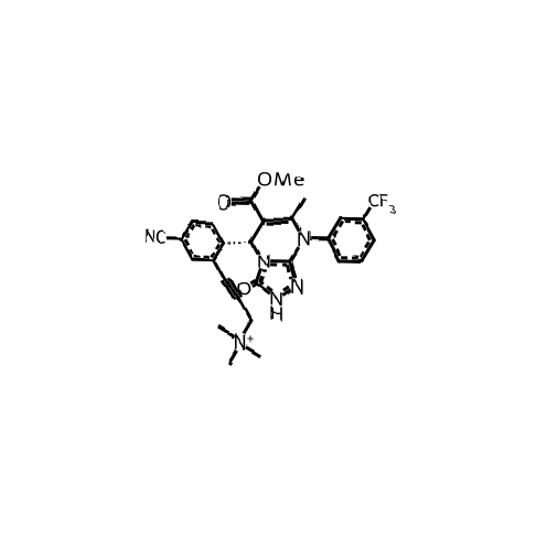 COC(=O)C1=C(C)N(c2cccc(C(F)(F)F)c2)c2n[nH]c(=O)n2[C@@H]1c1ccc(C#N)cc1C#CC[N+](C)(C)C